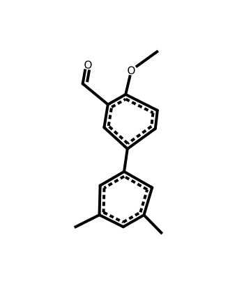 COc1ccc(-c2cc(C)cc(C)c2)cc1C=O